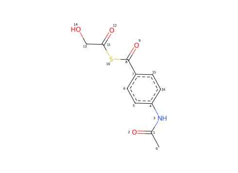 CC(=O)Nc1ccc(C(=O)SC(=O)CO)cc1